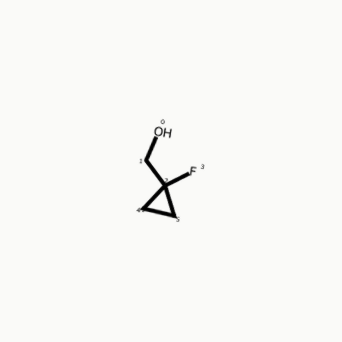 OCC1(F)[CH]C1